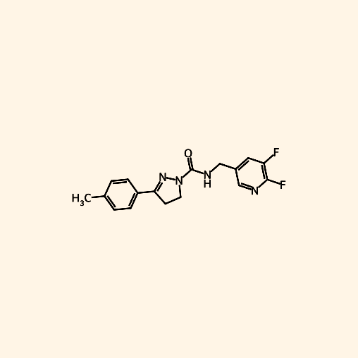 Cc1ccc(C2=NN(C(=O)NCc3cnc(F)c(F)c3)CC2)cc1